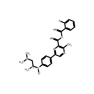 Cc1ncc(-c2ccc([S+]([O-])[C@@H](C)CN(C)C)cc2)nc1C(=N)OC(=N)c1ccccc1F